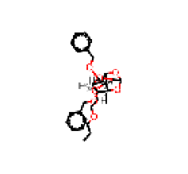 CCCOCCO[C@@H]1C2OC3O[C@@H](C2OCc2ccccc2)C(OCc2ccccc2)[C@H]1O3